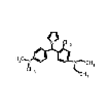 CCN(CC)c1ccc(C(c2ccc(N(C)C)cc2)n2cccc2)c(C)c1